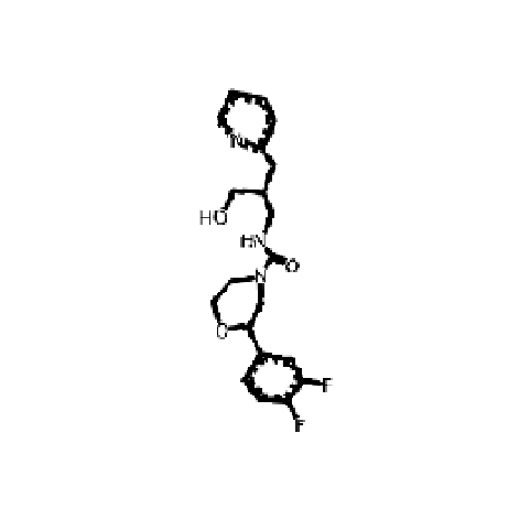 O=C(NCC(CO)Cc1ccccn1)N1CCOC(c2ccc(F)c(F)c2)C1